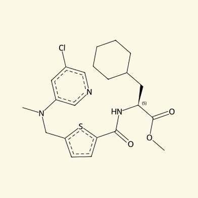 COC(=O)[C@H](CC1CCCCC1)NC(=O)c1ccc(CN(C)c2cncc(Cl)c2)s1